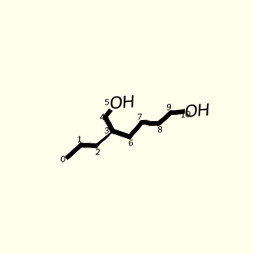 CCC[C@@H](CO)CCCCO